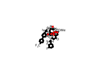 [2H]C([2H])(Sc1cc(=O)c2ccccc2n1C([2H])([2H])C(=O)N(C([2H])(C)c1ccc(-c2ccc(C(F)(F)F)cc2)cc1)C1([2H])C([2H])([2H])C([2H])([2H])N(C([2H])([2H])COC)C([2H])([2H])C1([2H])[2H])c1cccc(F)c1F